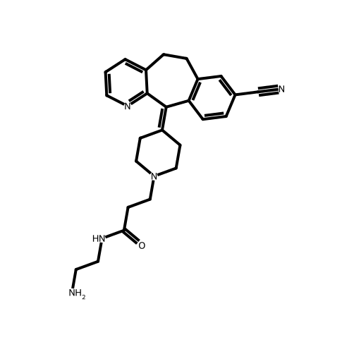 N#Cc1ccc2c(c1)CCc1cccnc1C2=C1CCN(CCC(=O)NCCN)CC1